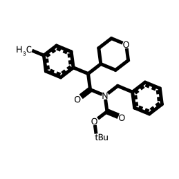 Cc1ccc(C(C(=O)N(Cc2ccccc2)C(=O)OC(C)(C)C)C2CCOCC2)cc1